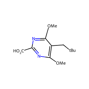 COc1nc(C(=O)O)nc(OC)c1CC(C)(C)C